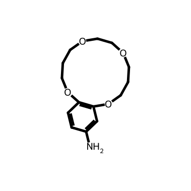 Nc1ccc2c(c1)OCCCOCCOCCCO2